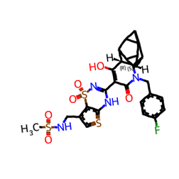 CS(=O)(=O)NCc1csc2c1S(=O)(=O)N=C(C1=C(O)[C@@H]3C4C5C6C7C4C7C(C65)[C@@H]3N(Cc3ccc(F)cc3)C1=O)N2